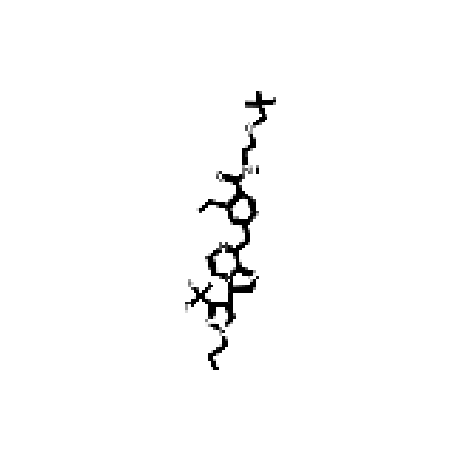 CCCn1cc(-c2cnc3c(Cc4ccc(C(=O)NCCOCC(C)(C)C)c(CC)c4)nccn23)c(C(F)(F)F)n1